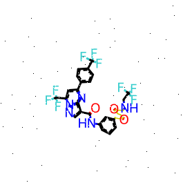 O=C(Nc1cccc(S(=O)(=O)NCC(F)(F)F)c1)c1cnn2c(C(F)(F)F)cc(-c3ccc(C(F)(F)F)cc3)nc12